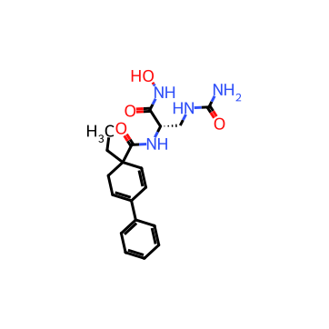 CCC1(C(=O)N[C@@H](CNC(N)=O)C(=O)NO)C=CC(c2ccccc2)=CC1